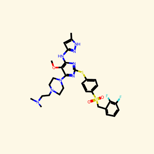 COc1c(Nc2cc(C)[nH]n2)nc(Sc2ccc(S(=O)(=O)Cc3cccc(F)c3F)cc2)nc1N1CCN(CCN(C)C)CC1